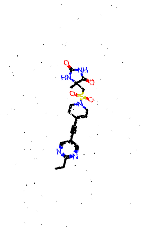 CCc1ncc(C#CC2=CCN(S(=O)(=O)CC3(C)NC(=O)NC3=O)CC2)cn1